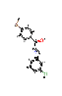 CSc1ccc(C(=O)/C=C/c2cccc(Cl)c2)cc1